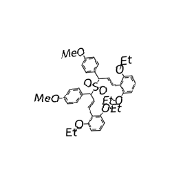 CCOc1cccc(OCC)c1C=CC(c1ccc(OC)cc1)S(=O)(=O)C(C=Cc1c(OCC)cccc1OCC)c1ccc(OC)cc1